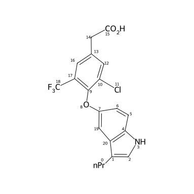 CCCc1c[nH]c2ccc(Oc3c(Cl)cc(CC(=O)O)cc3C(F)(F)F)cc12